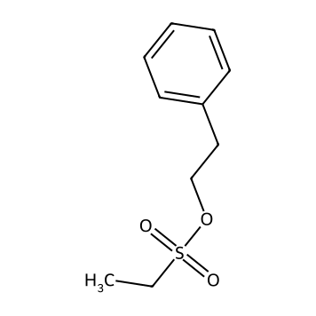 CCS(=O)(=O)OCCc1ccccc1